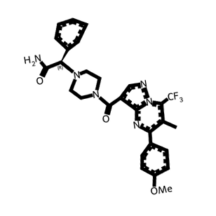 COc1ccc(-c2nc3c(C(=O)N4CCN([C@@H](C(N)=O)c5ccccc5)CC4)cnn3c(C(F)(F)F)c2C)cc1